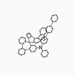 c1ccc(-c2ccc(-c3ccc(N(c4ccccc4)c4ccc5c(c4)C4(c6ccccc6-c6ccccc6-5)c5ccccc5-c5c4ccc4sc6ccccc6c54)cc3)cc2)cc1